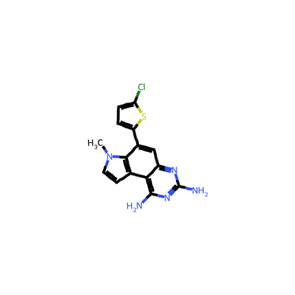 Cn1ccc2c3c(N)nc(N)nc3cc(-c3ccc(Cl)s3)c21